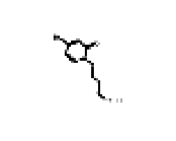 O=C(O)CCCCC1C=CC(Br)=CC1=O